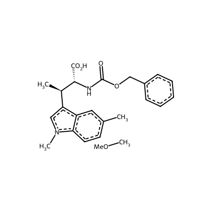 COC.Cc1ccc2c(c1)c([C@@H](C)[C@@H](NC(=O)OCc1ccccc1)C(=O)O)cn2C